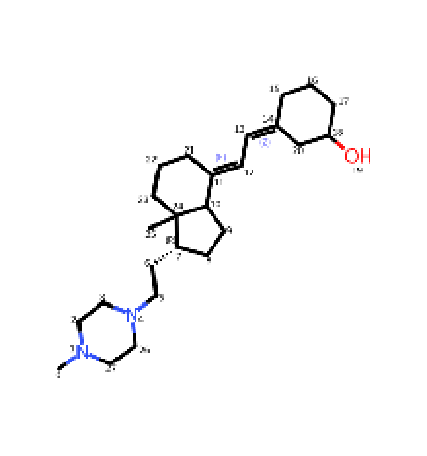 CN1CCN(CC[C@H]2CCC3/C(=C/C=C4/CCCC(O)C4)CCCC32C)CC1